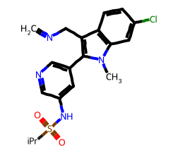 C=NCc1c(-c2cncc(NS(=O)(=O)C(C)C)c2)n(C)c2cc(Cl)ccc12